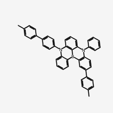 Cc1ccc(-c2ccc(N3c4ccccc4B4c5cc(-c6ccc(C)cc6)ccc5N(c5ccccc5)c5cccc3c54)cc2)cc1